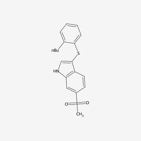 [CH2]CCCc1ccccc1Sc1c[nH]c2cc(S(C)(=O)=O)ccc12